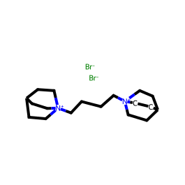 C(CC[N+]12CCC(CC1)CC2)C[N+]12CCC(CC1)CC2.[Br-].[Br-]